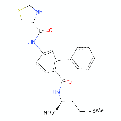 CSCC[C@H](NC(=O)c1ccc(NC(=O)[C@@H]2CSCN2)cc1-c1ccccc1)C(=O)O